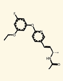 CCOc1cc(F)cc(Oc2ccc(/C=C/[C@H](C)NC(C)=O)cn2)c1